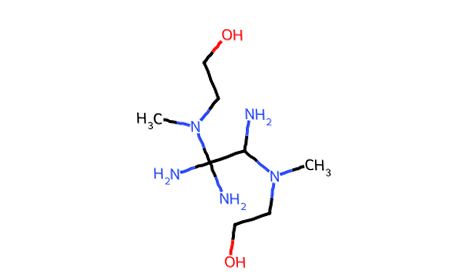 CN(CCO)C(N)C(N)(N)N(C)CCO